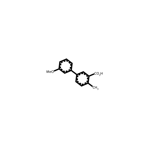 COc1cccc(-c2ccc(C)c(C(=O)O)c2)c1